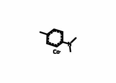 Cc1ccc(N(C)C)cc1.[Co]